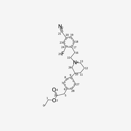 CCOC(=O)Cc1ccc(C2CCCN(CCc3ccc(C#N)cc3F)C2)cc1